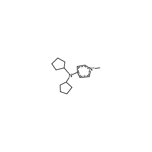 C[n+]1ccc(N(C2CCCC2)C2CCCC2)cc1